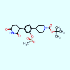 CC(C)(C)OC(=O)N1CCC(c2ccc(C3CCC(=O)NC3=O)cc2OS(C)(=O)=O)CC1